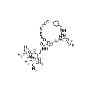 CC(C)(C)OC(=O)N[C@@H](CCNC(=O)c1ccc2cc1OCCCCCCOc1ccc(cc1)CNc1nc(nc(OCC(F)(F)F)n1)N2)C(=O)OC(C)(C)C